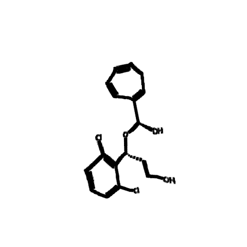 OCC[C@@H](O[C@H](O)C1=CCC=CC=C1)c1c(Cl)cccc1Cl